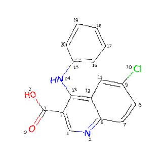 O=C(O)c1cnc2ccc(Cl)cc2c1Nc1ccccc1